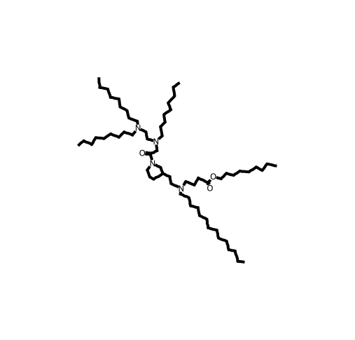 CCCCCCCCCCCCCCN(CCCC(=O)OCCCCCCCCC)CCC1CCCN(C(=O)CN(CCCCCCCCC)CCN(CCCCCCCCC)CCCCCCCCC)C1